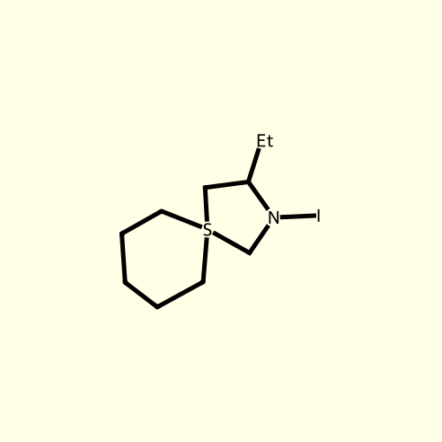 CCC1CS2(CCCCC2)CN1I